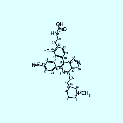 CN1CCC[C@@H](COc2nc(-c3ccc(C#N)cc3)c(-c3ccc(CCNC(=O)O)c(F)c3)n3cncc23)C1